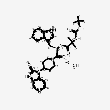 CC(C)(C)OC(=O)NC(C)(C)C(=O)N[C@H](Cc1c[nH]c2ccccc12)C(=O)N1CCC(n2c(=O)[nH]c3cnccc32)CC1.Cl.Cl